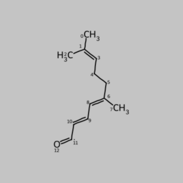 CC(C)=CCCC(C)=CC=C[C]=O